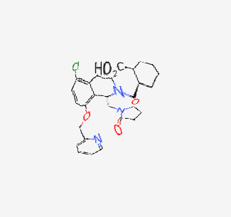 O=C(O)[C@H]1CCCC[C@H]1C(=O)N1CCc2c(Cl)ccc(OCc3ccccn3)c2[C@H]1CN1CCCC1=O